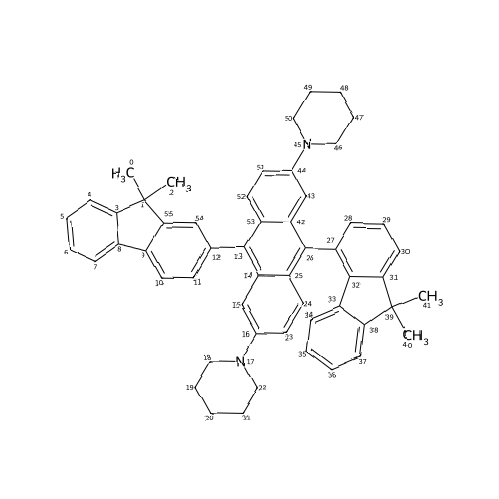 CC1(C)c2ccccc2-c2ccc(-c3c4cc(N5CCCCC5)ccc4c(-c4cccc5c4-c4ccccc4C5(C)C)c4cc(N5CCCCC5)ccc34)cc21